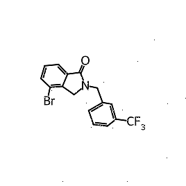 O=C1c2cccc(Br)c2CN1Cc1cccc(C(F)(F)F)c1